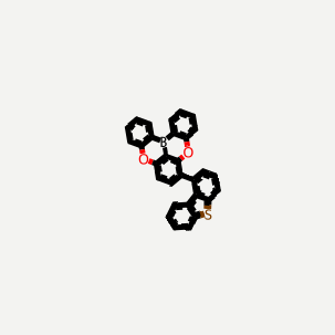 c1ccc2c(c1)Oc1ccc(-c3cccc4sc5ccccc5c34)c3c1B2c1ccccc1O3